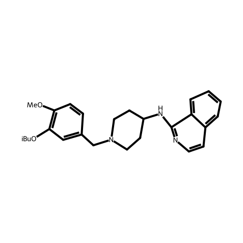 COc1ccc(CN2CCC(Nc3nccc4ccccc34)CC2)cc1OCC(C)C